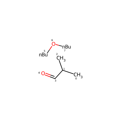 CC(C)C=O.CCCCOCCCC